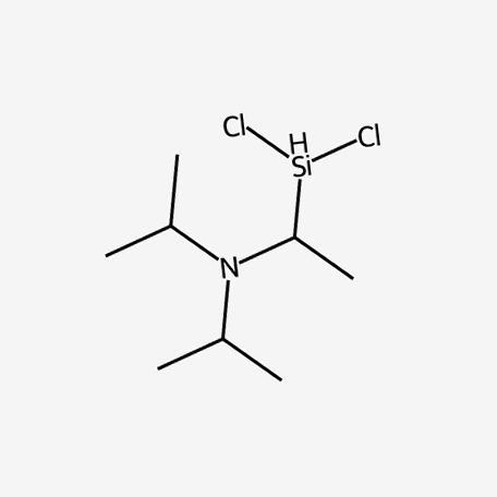 CC(C)N(C(C)C)C(C)[SiH](Cl)Cl